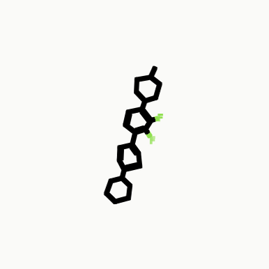 CC1CCC(c2ccc(-c3ccc(C4CCCCC4)cc3)c(F)c2F)CC1